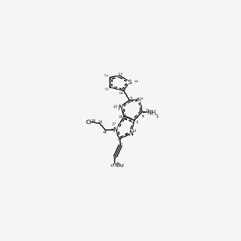 CCCCC#Cc1nc2c(N)nc(-c3cccs3)nc2n1CCCl